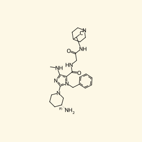 CNc1nc(N2CCC[C@@H](N)C2)n(Cc2ccccc2)c1C(=O)NCC(=O)NC1CN2CCC1CC2